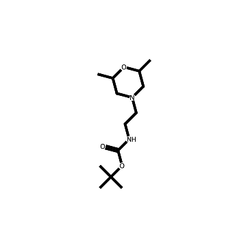 CC1CN(CCNC(=O)OC(C)(C)C)CC(C)O1